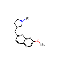 CC(C)N1CCC(Cc2ccc3ccc(OC(C)(C)C)cc3c2)C1